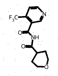 O=C(NC(=O)C1CCOCC1)c1cnccc1C(F)(F)F